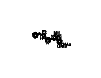 CC[C@@H](COc1cncc(-c2cc3c(cnc4cc(OC)c(OC)cc43)c(N)n2)c1)NCc1ccccc1